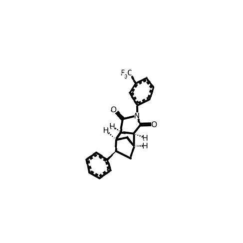 O=C1[C@@H]2[C@H]3C[C@H](C[C@H]3c3ccccc3)[C@@H]2C(=O)N1c1cccc(C(F)(F)F)c1